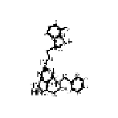 Cc1cccc2c(CCNc3nc4c5c(n3)N(Cc3ccccc3)CCC5NN4)c[nH]c12